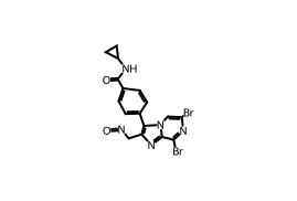 O=NCc1nc2c(Br)nc(Br)cn2c1-c1ccc(C(=O)NC2CC2)cc1